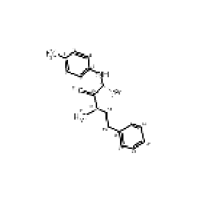 CC(C)[C@@H](Nc1ccc(C(F)(F)F)cc1)C(=O)N(C)CCc1ccccc1